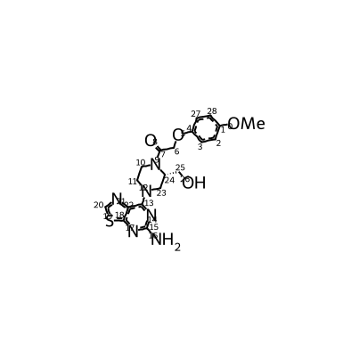 COc1ccc(OCC(=O)N2CCN(c3nc(N)nc4scnc34)C[C@H]2CO)cc1